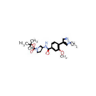 COc1cc(C(=O)NC2CCN(C(=O)OC(C)(C)C)C2)ccc1-c1cnn(C)c1